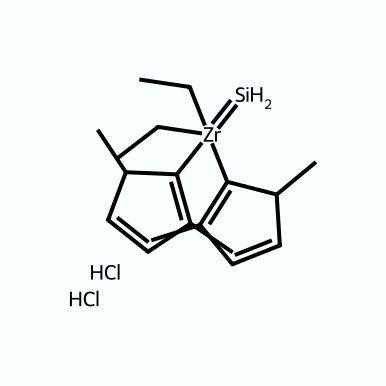 C[CH2][Zr](=[SiH2])([CH2]C)([C]1=C(C)C=CC1C)[C]1=C(C)C=CC1C.Cl.Cl